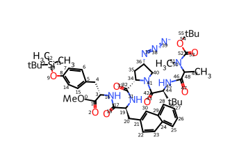 COC(=O)[C@H](Cc1ccc(O[Si](C)(C)C(C)(C)C)cc1)NC(=O)[C@H](Cc1ccc2ccccc2c1)NC(=O)[C@@H]1C[C@H](N=[N+]=[N-])CN1C(=O)[C@@H](NC(=O)C(C)N(C)C(=O)OC(C)(C)C)C(C)(C)C